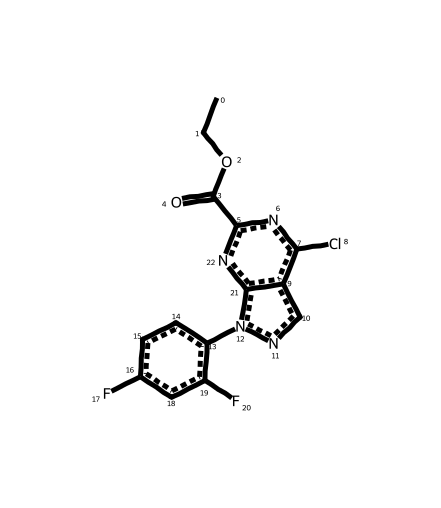 CCOC(=O)c1nc(Cl)c2cnn(-c3ccc(F)cc3F)c2n1